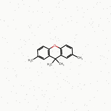 Cc1ccc2c(c1)C(C)(C)c1cc(C)ccc1O2